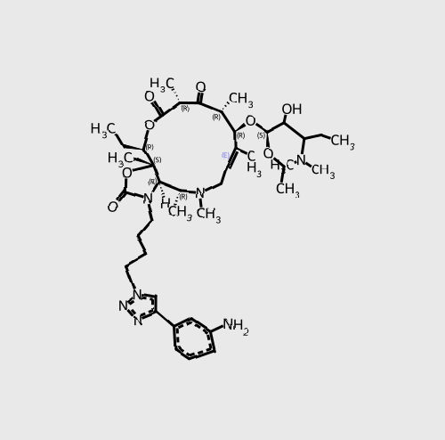 CCO[C@@H](O[C@H]1/C(C)=C/CN(C)[C@H](C)[C@H]2N(CCCCn3cc(-c4cccc(N)c4)nn3)C(=O)O[C@]2(C)[C@@H](CC)OC(=O)[C@H](C)C(=O)[C@@H]1C)C(O)C(CC)N(C)C